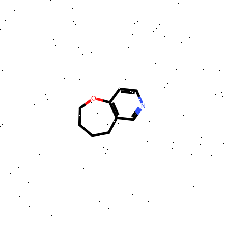 c1cc2c(cn1)CCCCO2